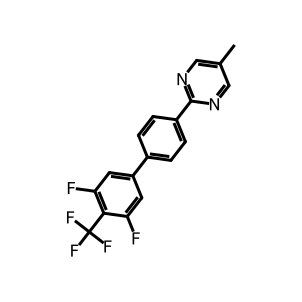 Cc1cnc(-c2ccc(-c3cc(F)c(C(F)(F)F)c(F)c3)cc2)nc1